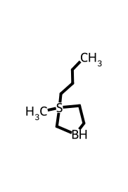 CCCCS1(C)CBCC1